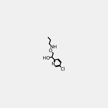 CCCNOCC(O)c1ccc(Cl)cn1